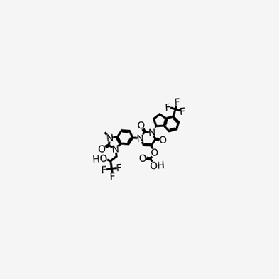 Cn1c(=O)n(CC(O)C(F)(F)F)c2cc(-n3cc(OC(=O)O)c(=O)n([C@@H]4CCc5c4cccc5C(F)(F)F)c3=O)ccc21